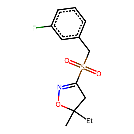 CCC1(C)CC(S(=O)(=O)Cc2cccc(F)c2)=NO1